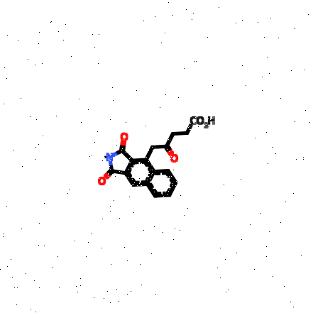 O=C(O)CCC(=O)Cc1c2c(cc3ccccc13)C(=O)[N]C2=O